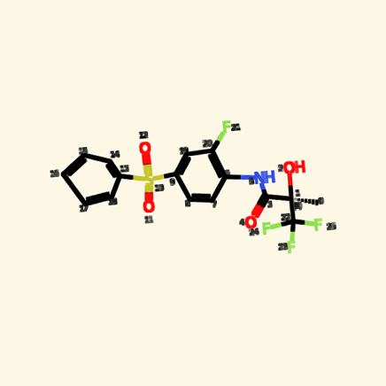 C[C@@](O)(C(=O)Nc1ccc(S(=O)(=O)c2ccccc2)cc1F)C(F)(F)F